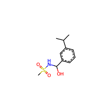 CC(C)c1cccc(C(O)NS(C)(=O)=O)c1